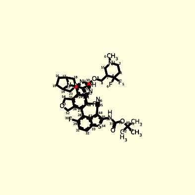 CN1CCC(F)(F)C(COc2nc(N3C4CCC3CN(C(=O)O)C4)c3c4c(c(-c5c(F)ccc6sc(NC(=O)OC(C)(C)C)c(C#N)c56)c(F)c3n2)COC4)C1